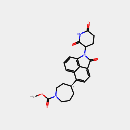 CC(C)(C)OC(=O)N1CCC[C@H](c2ccc3c4c(cccc24)N(C2CCC(=O)NC2=O)C3=O)CC1